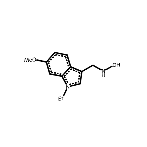 CCn1cc(CNO)c2ccc(OC)cc21